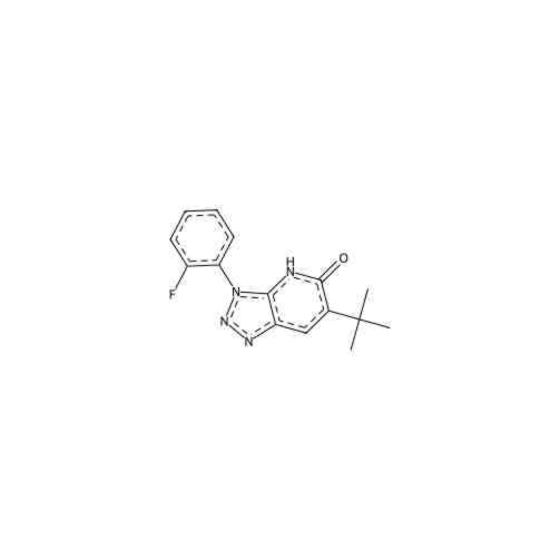 CC(C)(C)c1cc2nnn(-c3ccccc3F)c2[nH]c1=O